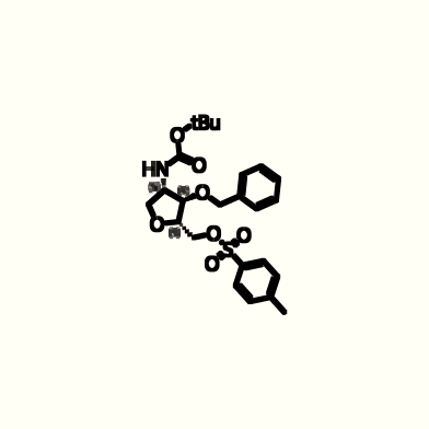 Cc1ccc(S(=O)(=O)OC[C@@H]2OC[C@H](NC(=O)OC(C)(C)C)[C@H]2OCc2ccccc2)cc1